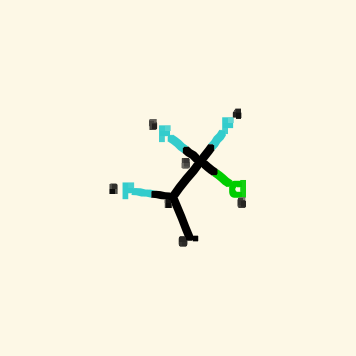 [CH2]C(F)C(F)(F)Cl